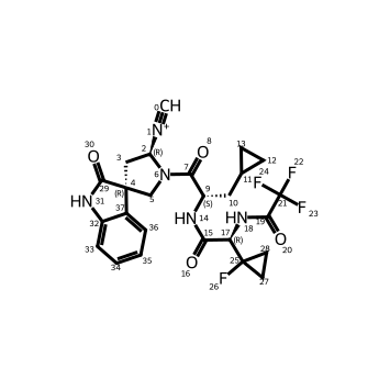 C#[N+][C@@H]1C[C@@]2(CN1C(=O)[C@H](CC1CC1)NC(=O)[C@@H](NC(=O)C(F)(F)F)C1(F)CC1)C(=O)Nc1ccccc12